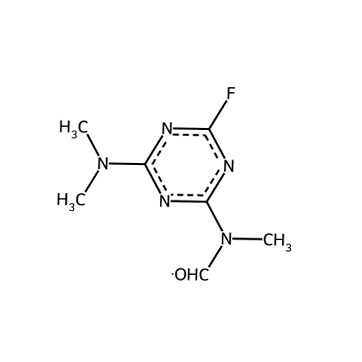 CN(C)c1nc(F)nc(N(C)[C]=O)n1